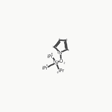 CC(C)[Si](On1cccc1)(C(C)C)C(C)C